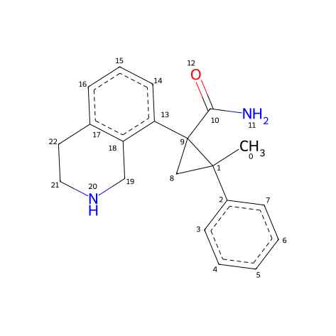 CC1(c2ccccc2)CC1(C(N)=O)c1cccc2c1CNCC2